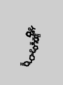 CC(C)S(=O)(=O)c1ccccc1Nc1nc(NC2CCN(CC(=O)N3CCC(CN4CCNCC4)CC3)C2)ncc1Cl